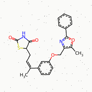 C/C(=C/CC1SC(=O)NC1=O)c1cccc(OCc2nc(-c3ccccc3)oc2C)c1